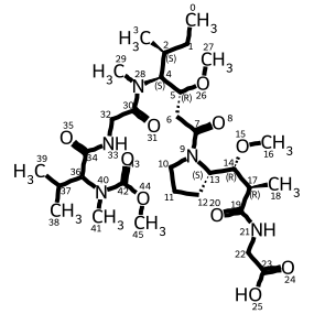 CC[C@H](C)[C@@H]([C@@H](CC(=O)N1CCC[C@H]1[C@H](OC)[C@@H](C)C(=O)NCC(=O)O)OC)N(C)C(=O)CNC(=O)C(C(C)C)N(C)C(=O)OC